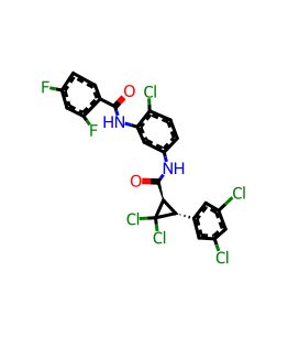 O=C(Nc1cc(NC(=O)[C@H]2[C@H](c3cc(Cl)cc(Cl)c3)C2(Cl)Cl)ccc1Cl)c1ccc(F)cc1F